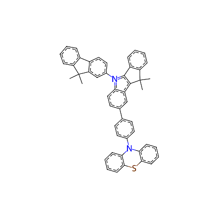 CC1(C)c2ccccc2-c2ccc(-n3c4c(c5cc(-c6ccc(N7c8ccccc8Sc8ccccc87)cc6)ccc53)C(C)(C)c3ccccc3-4)cc21